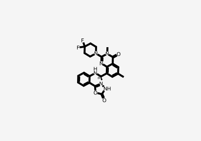 Cc1cc([C@@H](C)Nc2ccccc2-c2n[nH]c(=O)o2)c2nc(N3CCC(F)(F)CC3)n(C)c(=O)c2c1